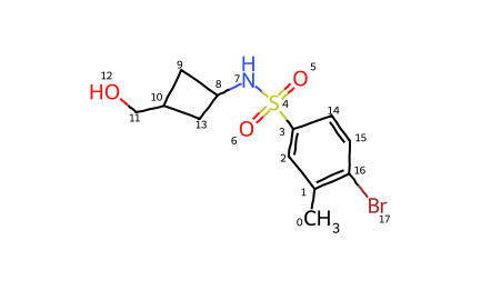 Cc1cc(S(=O)(=O)NC2CC(CO)C2)ccc1Br